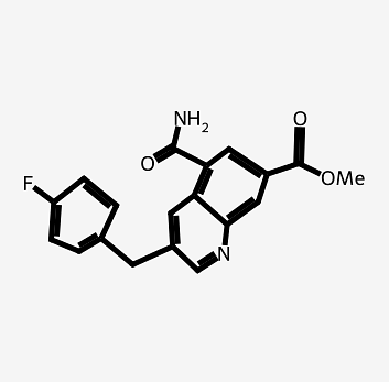 COC(=O)c1cc(C(N)=O)c2cc(Cc3ccc(F)cc3)cnc2c1